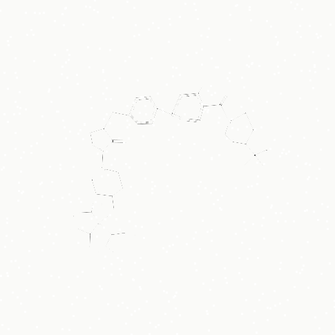 CC(C)[Si](OC1CCN(N2CCC(Cc3ccc(-c4ccc(C(=O)N5CCC(C(F)(F)F)CC5)c(Cl)c4)cc3)C2=O)CC1)(C(C)C)C(C)C